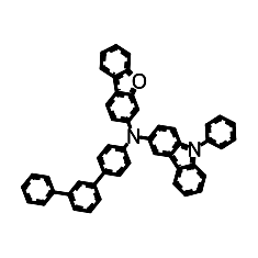 c1ccc(-c2cccc(-c3ccc(N(c4ccc5c(c4)oc4ccccc45)c4ccc5c(c4)c4ccccc4n5-c4ccccc4)cc3)c2)cc1